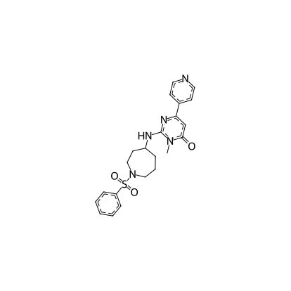 Cn1c(NC2CCCN(S(=O)(=O)c3ccccc3)CC2)nc(-c2ccncc2)cc1=O